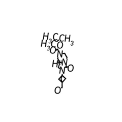 CC(C)(C)OC(=O)N1CCN2C(=O)N(C34CC(C=O)(C3)C4)C[C@@H]2C1